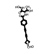 C[C@@H](O)[C@H](NC(=O)c1ccc(C#CC#CC2CN(C=O)C2)cc1)C(=O)NO